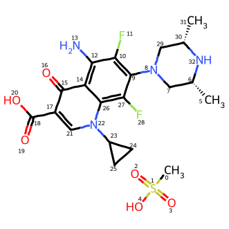 CS(=O)(=O)O.C[C@@H]1CN(c2c(F)c(N)c3c(=O)c(C(=O)O)cn(C4CC4)c3c2F)C[C@H](C)N1